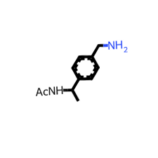 CC(=O)NC(C)c1ccc(CN)cc1